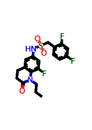 CCCN1C(=O)CCc2cc(NS(=O)(=O)Cc3ccc(F)cc3F)cc(F)c21